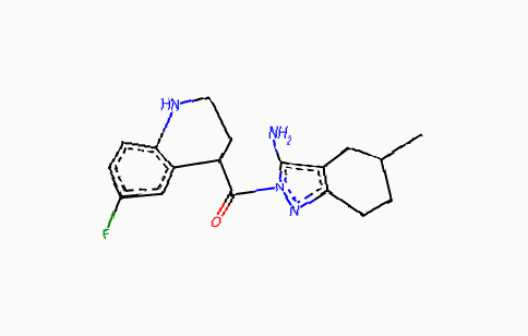 CC1CCc2nn(C(=O)C3CCNc4ccc(F)cc43)c(N)c2C1